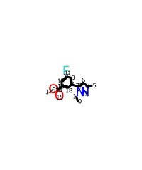 CCn1nc(C)cc1-c1cc(F)cc(C(=O)OC)c1